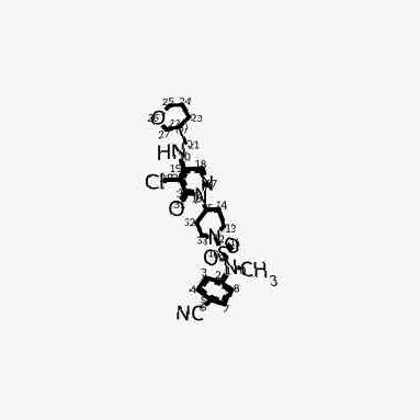 CN(c1ccc(C#N)cc1)S(=O)(=O)N1CCC(n2ncc(NC[C@@H]3CCCOC3)c(Cl)c2=O)CC1